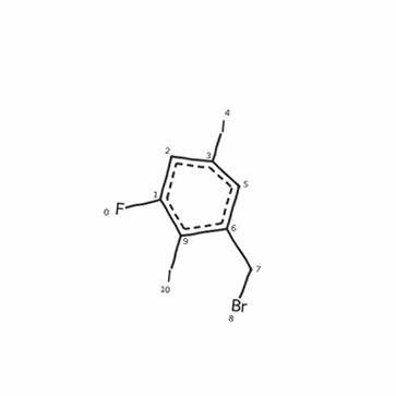 Fc1cc(I)cc(CBr)c1I